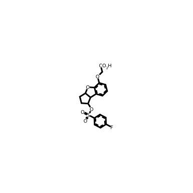 O=C(O)COc1cccc2c1OC1CCC(OS(=O)(=O)c3ccc(F)cc3)C21